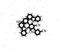 N#Cc1cccc(-c2c(C#N)c(-n3c4ccccc4c4ccccc43)c(-c3cccc(C#N)c3)c(-n3c4ccccc4c4ccccc43)c2C#N)c1